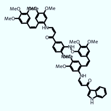 COc1ccc(C(=O)/C=C\Nc2cc(OC)c(OC)cc2/C=C\c2cc(OC)c(OC)c(OC)c2)cc1NOc1cc(/C=C\c2cc(OC)c(OC)cc2N/C=C\C(=O)c2c[nH]c3ccccc23)cc(OC)c1OC